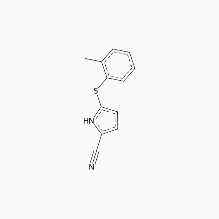 Cc1ccccc1Sc1ccc(C#N)[nH]1